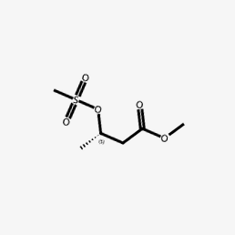 COC(=O)C[C@H](C)OS(C)(=O)=O